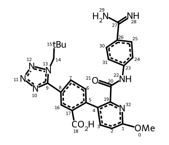 COc1ccc(-c2ccc(-c3nnnn3CC(C)(C)C)cc2C(=O)O)c(C(=O)Nc2ccc(C(=N)N)cc2)n1